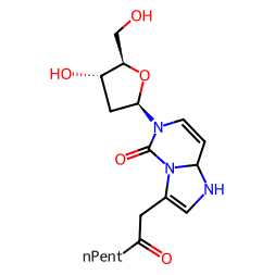 CCCCCC(=O)CC1=CNC2C=CN([C@H]3C[C@H](O)[C@@H](CO)O3)C(=O)N12